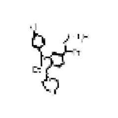 CCC(CC(=O)O)c1ccc([C@@H](CC)N2CCOCC2)c(Nc2ccc(Cl)cc2)c1